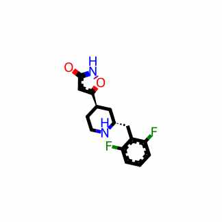 O=c1cc([C@@H]2CCN[C@@H](Cc3c(F)cccc3F)C2)o[nH]1